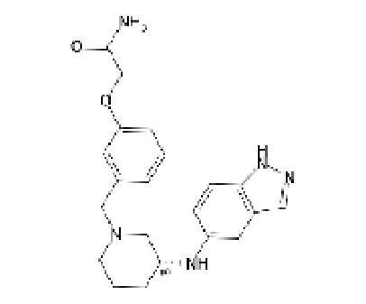 NC(=O)COc1cccc(CN2CCC[C@@H](Nc3ccc4[nH]ncc4c3)C2)c1